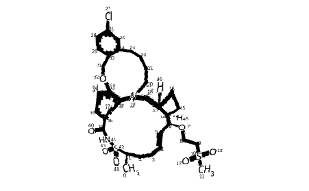 C[C@@H]1CC/C=C/[C@H](OCCS(C)(=O)=O)[C@@H]2CC[C@H]2CN2CCCCc3cc(Cl)ccc3COc3ccc(cc32)C(=O)NS1(=O)=O